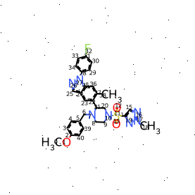 COc1ccc(CN2CCN(S(=O)(=O)c3cnn(C)n3)CC2c2cc3cnn(-c4ccc(F)cc4)c3cc2C)cc1